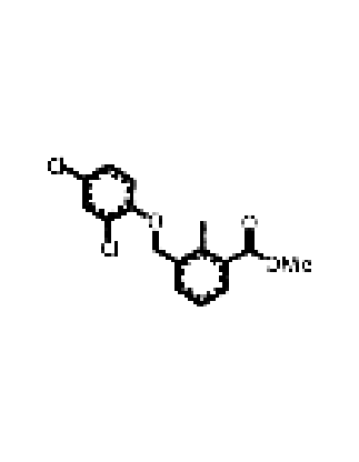 COC(=O)c1cccc(COc2ccc(Cl)cc2Cl)c1C